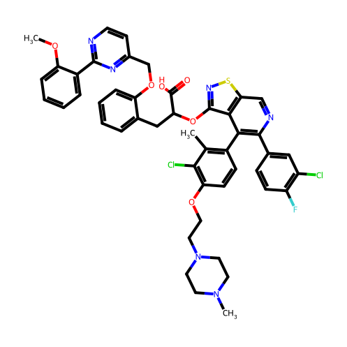 COc1ccccc1-c1nccc(COc2ccccc2CC(Oc2nsc3cnc(-c4ccc(F)c(Cl)c4)c(-c4ccc(OCCN5CCN(C)CC5)c(Cl)c4C)c23)C(=O)O)n1